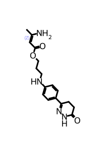 C/C(N)=C/C(=O)OCCCNc1ccc(C2=NNC(=O)CC2)cc1